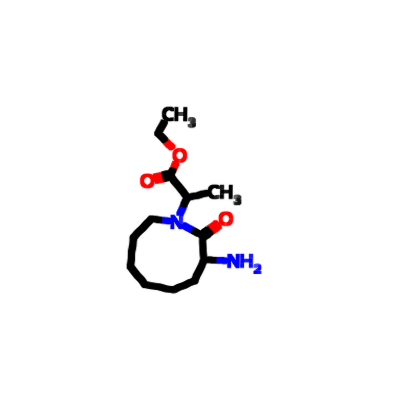 CCOC(=O)C(C)N1CCCCCCC(N)C1=O